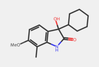 COc1ccc2c(c1C)NC(=O)C2(O)C1CCCCC1